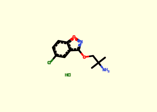 CC(C)(N)COc1noc2ccc(Cl)cc12.Cl